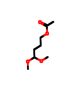 COC(CCCOC(C)=O)OC